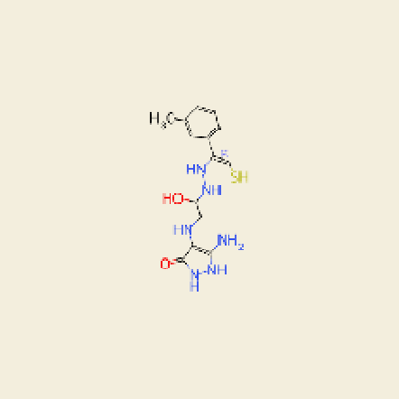 Cc1cccc(/C(=C/S)NNC(O)CNc2c(N)[nH][nH]c2=O)c1